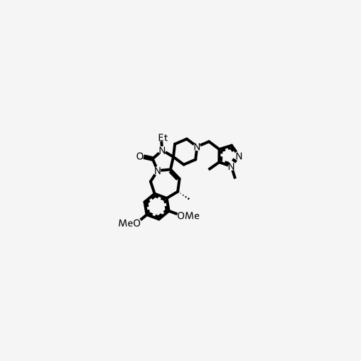 CCN1C(=O)N2Cc3cc(OC)cc(OC)c3[C@@H](C)C=C2C12CCN(Cc1cnn(C)c1C)CC2